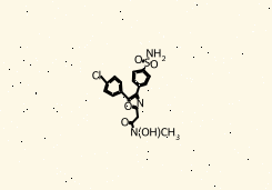 CN(O)C(=O)Cc1nc(-c2ccc(S(N)(=O)=O)cc2)c(-c2ccc(Cl)cc2)o1